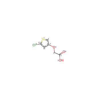 O=C(O)COc1csc(Cl)c1